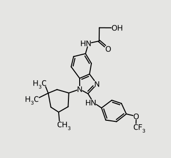 CC1CC(n2c(Nc3ccc(OC(F)(F)F)cc3)nc3cc(NC(=O)CO)ccc32)CC(C)(C)C1